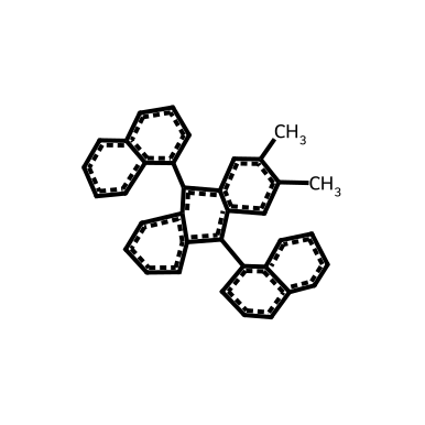 Cc1cc2c(-c3cccc4ccccc34)c3ccccc3c(-c3cccc4ccccc34)c2cc1C